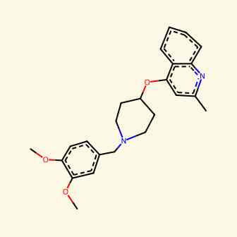 COc1ccc(CN2CCC(Oc3cc(C)nc4ccccc34)CC2)cc1OC